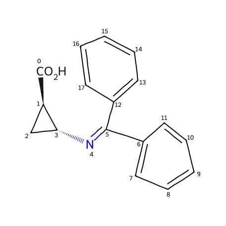 O=C(O)[C@@H]1C[C@H]1N=C(c1ccccc1)c1ccccc1